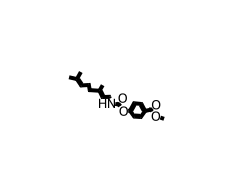 COC(=O)c1ccc(OC(=O)NC/C=C(\C)CCC=C(C)C)cc1